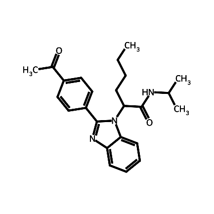 CCCCC(C(=O)NC(C)C)n1c(-c2ccc(C(C)=O)cc2)nc2ccccc21